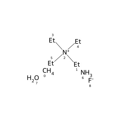 C.CC[N+](CC)(CC)CC.N.O.[F-]